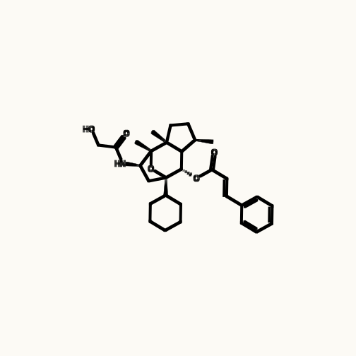 C[C@@H]1CC[C@]2(C)C1[C@H](OC(=O)/C=C/c1ccccc1)[C@]1(C3CCCCC3)C[C@@H](NC(=O)CO)[C@@]2(C)O1